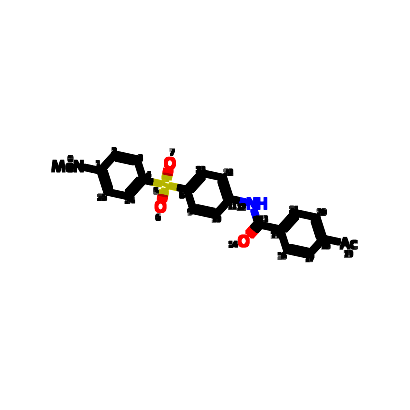 CNc1ccc(S(=O)(=O)c2ccc(NC(=O)c3ccc(C(C)=O)cc3)cc2)cc1